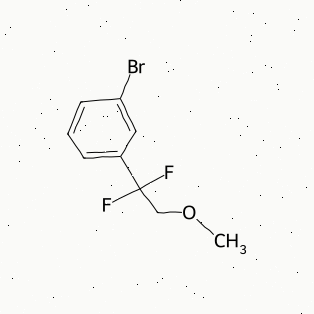 COCC(F)(F)c1cccc(Br)c1